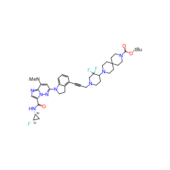 CNc1cc(N2CCc3c(C#CCN4CCC(N5CCC6(CCN(C(=O)OC(C)(C)C)CC6)CC5)C(F)(F)C4)cccc32)nn2c(C(=O)N[C@@H]3C[C@@H]3F)cnc12